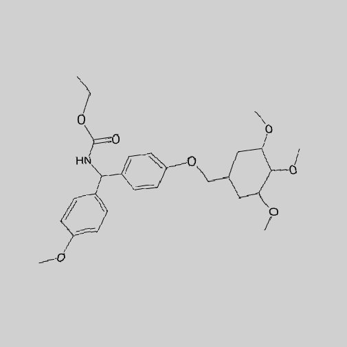 CCOC(=O)NC(c1ccc(OC)cc1)c1ccc(OCC2CC(OC)C(OC)C(OC)C2)cc1